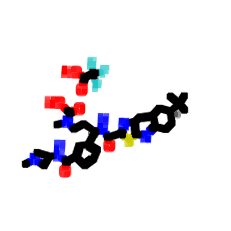 CN1CC(NC(=O)c2cccc([C@@H](CCN(C)C(=O)O)NC(=O)c3nc4cc5c(nc4s3)CC[C@H](C(C)(C)C)C5)c2)C1.O=C(O)C(F)(F)F